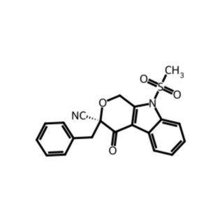 CS(=O)(=O)n1c2c(c3ccccc31)C(=O)[C@@](C#N)(Cc1ccccc1)OC2